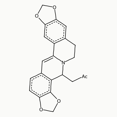 CC(=O)CC1c2c(ccc3c2OCO3)C=C2c3cc4c(cc3CCN21)OCO4